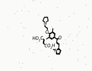 Cc1cc(C(=O)C=Cc2cccn2C)cc(C)c1OCCN1CCCC1.O=C(O)C=CC(=O)O